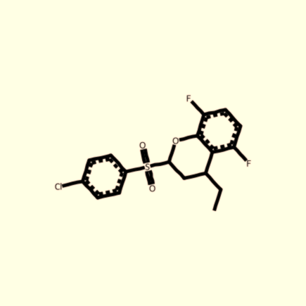 CCC1CC(S(=O)(=O)c2ccc(Cl)cc2)Oc2c(F)ccc(F)c21